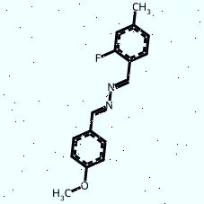 COc1ccc(C=NN=Cc2ccc(C)cc2F)cc1